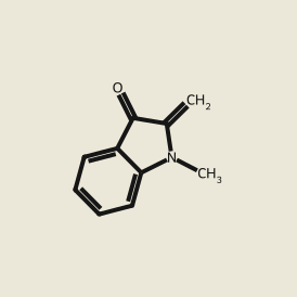 C=C1C(=O)c2ccccc2N1C